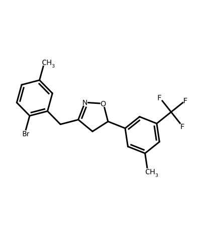 Cc1cc(C2CC(Cc3cc(C)ccc3Br)=NO2)cc(C(F)(F)F)c1